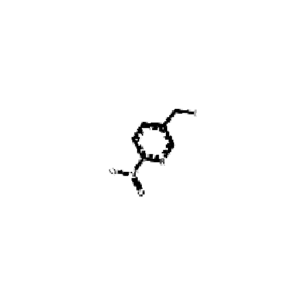 O=[N+]([O-])c1ccc(CI)cn1